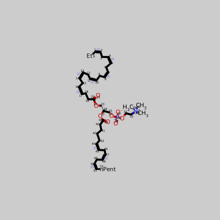 CC/C=C\C/C=C\C/C=C\C/C=C\C/C=C\C/C=C\CCC(=O)OC[C@H](COP(=O)([O-])OCC[N+](C)(C)C)OC(=O)CCCC/C=C\C/C=C\C/C=C\CCCCC